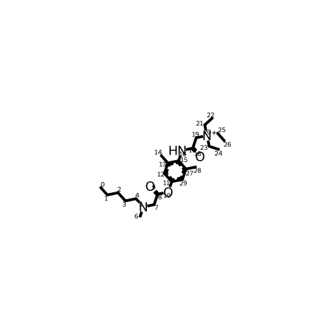 CCCCCN(C)CC(=O)Oc1cc(C)c(NC(=O)C[N+](CC)(CC)CC)c(C)c1